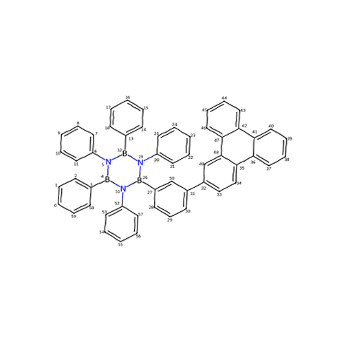 c1ccc(B2N(c3ccccc3)B(c3ccccc3)N(c3ccccc3)B(c3cccc(-c4ccc5c6ccccc6c6ccccc6c5c4)c3)N2c2ccccc2)cc1